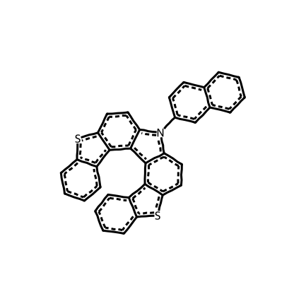 c1ccc2cc(-n3c4ccc5sc6ccccc6c5c4c4c5c(ccc43)sc3ccccc35)ccc2c1